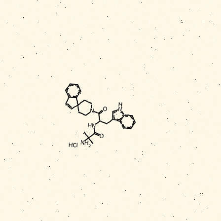 CC(C)(N)C(=O)NC(Cc1c[nH]c2ccccc12)C(=O)N1CCC2(C=Cc3ccccc32)CC1.Cl